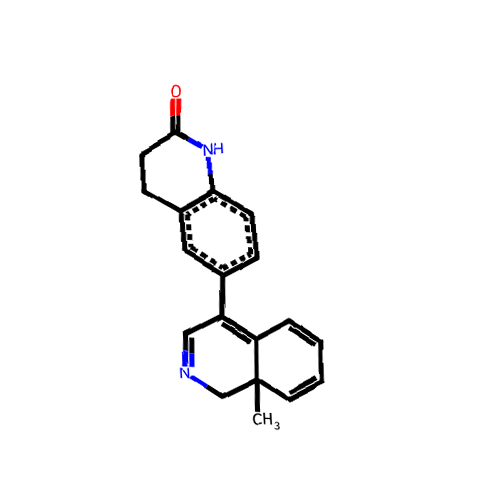 CC12C=CC=CC1=C(c1ccc3c(c1)CCC(=O)N3)C=NC2